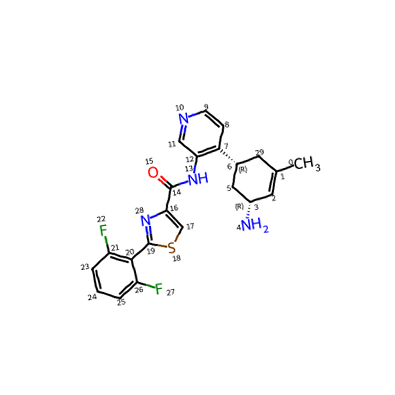 CC1=C[C@H](N)C[C@H](c2ccncc2NC(=O)c2csc(-c3c(F)cccc3F)n2)C1